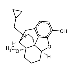 CO[C@@]12CCC[C@@H]3Oc4c(O)ccc5c4[C@@]31CCN(CC1CC1)[C@@H]2C5